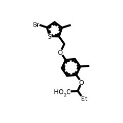 CCC(Oc1ccc(OCc2sc(Br)cc2C)cc1C)C(=O)O